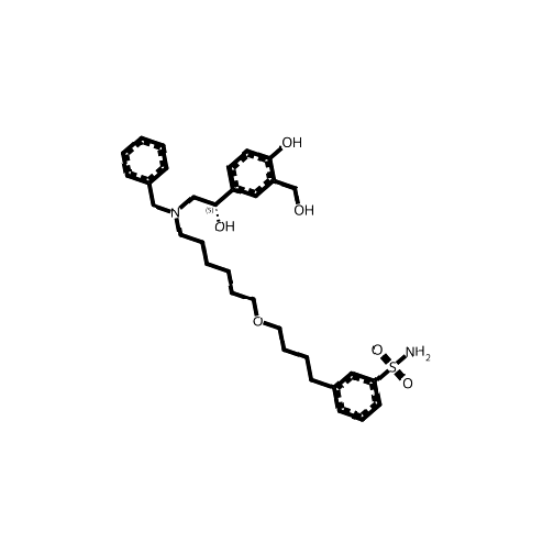 NS(=O)(=O)c1cccc(CCCCOCCCCCCN(Cc2ccccc2)C[C@@H](O)c2ccc(O)c(CO)c2)c1